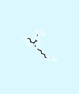 CCCCCCON=C(C(=O)CCl)C(=O)OCC